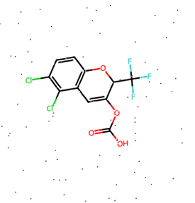 O=C(O)OC1=Cc2c(ccc(Cl)c2Cl)OC1C(F)(F)F